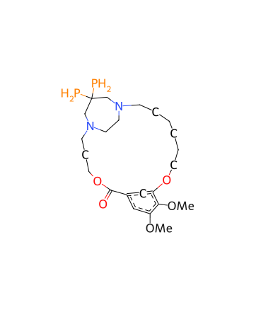 COc1cc2cc(c1OC)OCCCCCCN1CCN(CCCOC2=O)CC(P)(P)C1